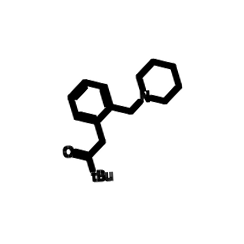 CC(C)(C)C(=O)Cc1ccccc1CN1CCCCC1